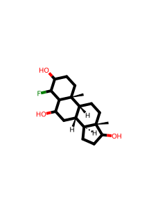 C[C@]12CCC(O)C(F)C1C(O)C[C@@H]1[C@H]2CC[C@]2(C)C(O)CC[C@@H]12